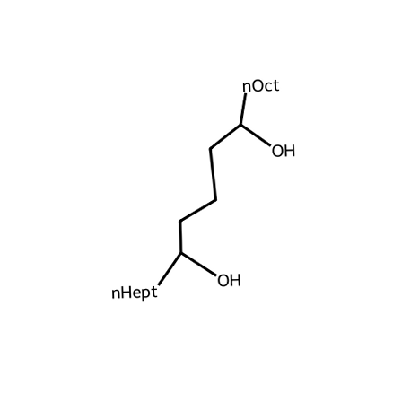 CCCCCCCCC(O)CCCC(O)CCCCCCC